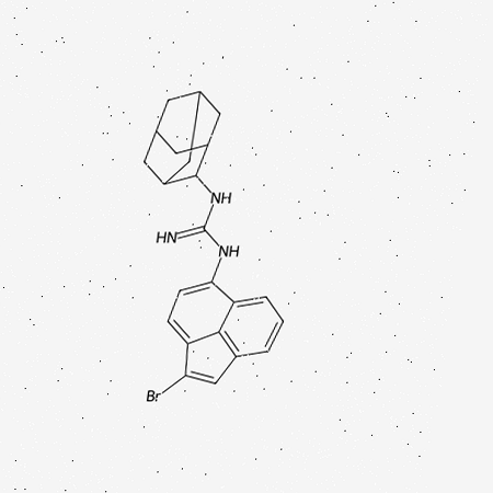 N=C(Nc1ccc2c3c(cccc13)C=C2Br)NC1C2CC3CC(C2)CC1C3